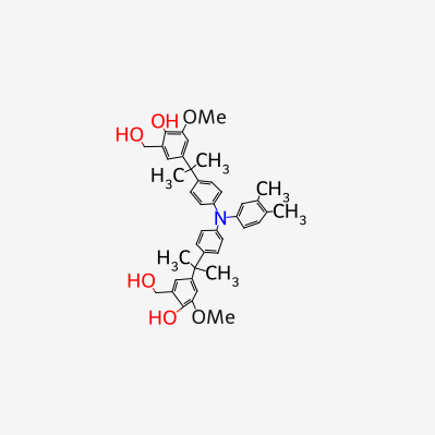 COc1cc(C(C)(C)c2ccc(N(c3ccc(C(C)(C)c4cc(CO)c(O)c(OC)c4)cc3)c3ccc(C)c(C)c3)cc2)cc(CO)c1O